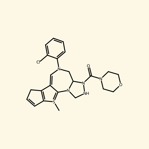 CS1=C2C(=CN(c3ccccc3Cl)CC3N2CNN3C(=O)N2CCOCC2)C2=C1C=CC2